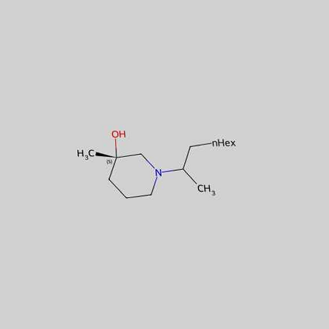 CCCCCCCC(C)N1CCC[C@](C)(O)C1